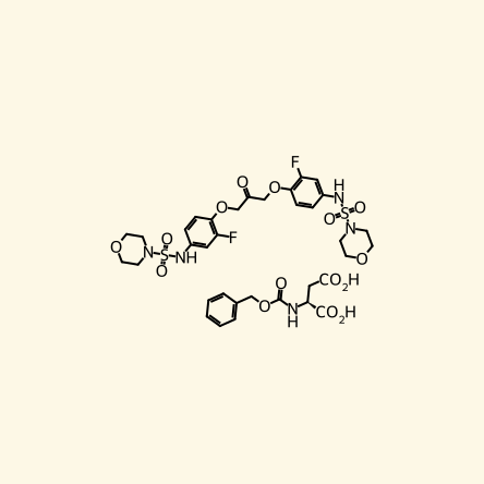 O=C(COc1ccc(NS(=O)(=O)N2CCOCC2)cc1F)COc1ccc(NS(=O)(=O)N2CCOCC2)cc1F.O=C(O)C[C@H](NC(=O)OCc1ccccc1)C(=O)O